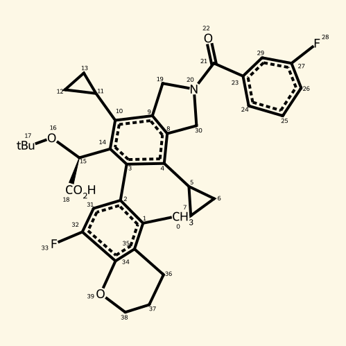 Cc1c(-c2c(C3CC3)c3c(c(C4CC4)c2[C@H](OC(C)(C)C)C(=O)O)CN(C(=O)c2cccc(F)c2)C3)cc(F)c2c1CCCO2